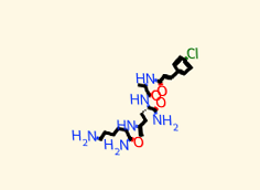 C=C(CC[C@H](NC(=O)C(C)NC(=O)/C=C/c1ccc(Cl)cc1)C(N)=O)NC(CCCCN)C(N)=O